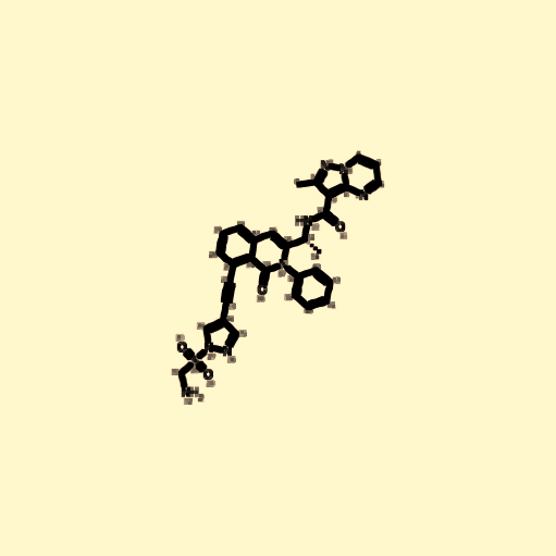 Cc1nn2cccnc2c1C(=O)N[C@H](C)c1cc2cccc(C#Cc3cnn(S(=O)(=O)CN)c3)c2c(=O)n1-c1ccccc1